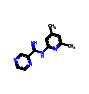 Cc1cc(C)nc(NC(=N)c2cnccn2)c1